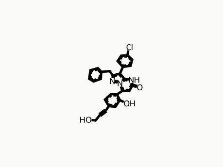 O=c1cc(-c2ccc(C#CCO)cc2O)n2nc(Cc3ccccc3)c(-c3ccc(Cl)cc3)c2[nH]1